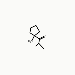 CC(C)C(=O)C1(N)CCCC1